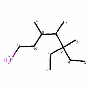 CCC(C)(CC)C(C)C(C)CCP